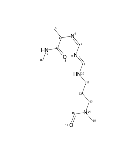 CNC(=O)C(C)/N=C\N=C\NCCCN(C)C=O